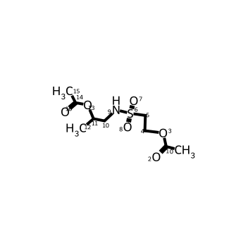 CC(=O)OCCS(=O)(=O)NCC(C)OC(C)=O